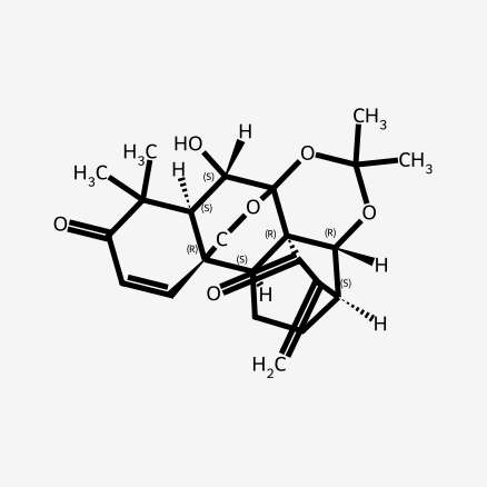 C=C1C(=O)[C@@]23[C@@H]4OC(C)(C)OC25OC[C@]2(C=CC(=O)C(C)(C)[C@H]2[C@@H]5O)[C@@H]3CC[C@@H]14